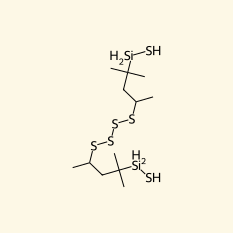 CC(CC(C)(C)[SiH2]S)SSSSC(C)CC(C)(C)[SiH2]S